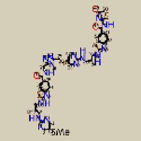 CSc1cnc(NC[C@H](C)CNc2nc3ccc(C(=O)NCc4nnc(CSc5cnc(NC[C@H](C)CNc6nc7ccc(C(=O)NC8=NC(=O)CS8)cc7s6)nc5)n4C)cc3s2)nc1